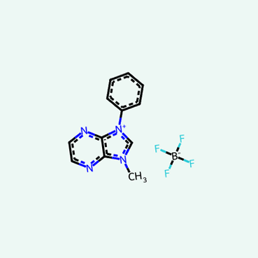 Cn1c[n+](-c2ccccc2)c2nccnc21.F[B-](F)(F)F